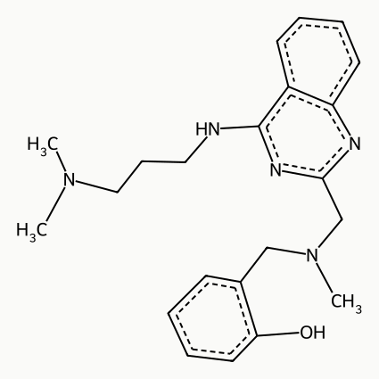 CN(C)CCCNc1nc(CN(C)Cc2ccccc2O)nc2ccccc12